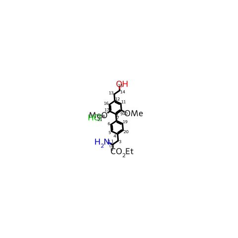 CCOC(=O)[C@@H](N)Cc1ccc(-c2c(OC)cc(CCO)cc2OC)cc1.Cl